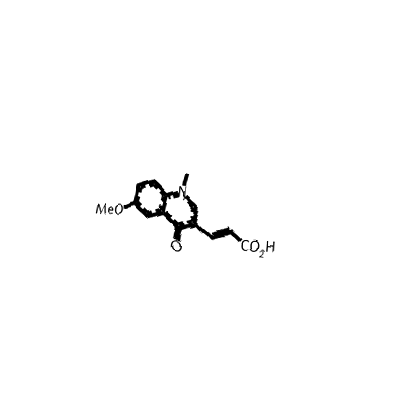 COc1ccc2c(c1)c(=O)c(C=CC(=O)O)cn2C